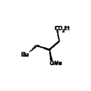 CCOC(=O)C[C@H](C[C@@H](C)CC)OC